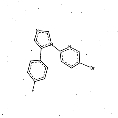 Fc1ccc(-c2cncn2-c2ccc(Br)cn2)cc1